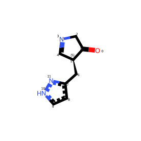 O=C1CN=C[C@@H]1Cc1cc[nH]n1